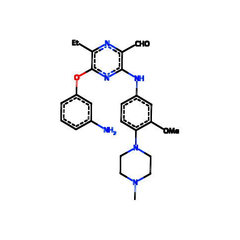 CCc1nc(C=O)c(Nc2ccc(N3CCN(C)CC3)c(OC)c2)nc1Oc1cccc(N)c1